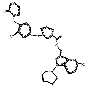 O=C(NCc1nn(C2CCCCO2)c2ccc(Cl)cc12)c1cncc(Cc2ccc(Cn3ccccc3=O)c(Cl)c2)c1